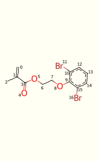 C=C(C)C(=O)OCCOc1c(Br)cccc1Br